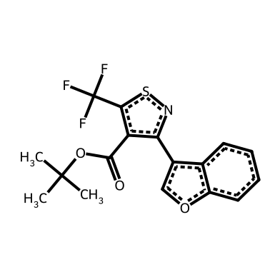 CC(C)(C)OC(=O)c1c(-c2coc3ccccc23)nsc1C(F)(F)F